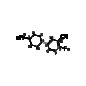 CCC[C@H]1CC[C@H](c2ccc(F)c(C#N)c2)CC1